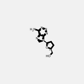 Nc1nnnc2c1ncn2[C@H]1CC[C@@H](CO)O1